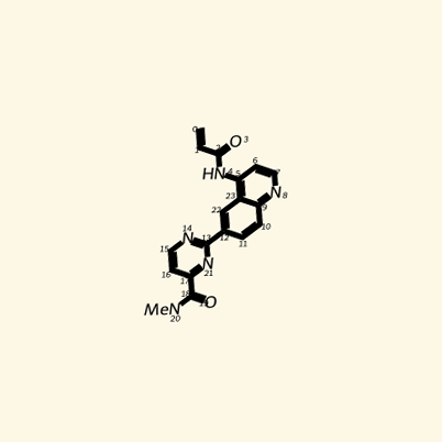 C=CC(=O)Nc1ccnc2ccc(-c3nccc(C(=O)NC)n3)cc12